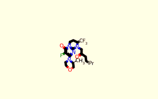 CC(C)CCC(=O)CN1c2nc(N3CCOC[C@H]3C)c(F)c(=O)n2CCC1C(F)(F)F